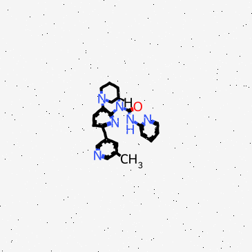 Cc1cncc(-c2ccc3c(n2)N(C(=O)Nc2ccccn2)[C@H]2CCCN3C2)c1